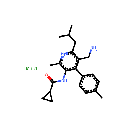 Cc1ccc(-c2c(CN)c(CC(C)C)nc(C)c2NC(=O)C2CC2)cc1.Cl.Cl